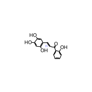 O=C(/C=C/c1cc(O)c(O)cc1O)c1ccccc1O